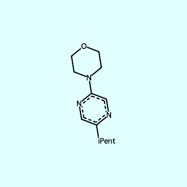 CCCC(C)c1cnc(N2CCOCC2)cn1